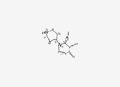 C=C/C=C\N(C(=O)C=C)C1CCNCC1